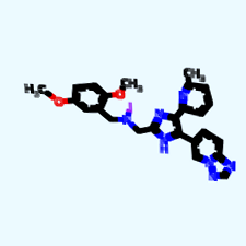 COc1ccc(OC)c(CN(I)Cc2nc(-c3cccc(C)n3)c(-c3ccc4ncnn4c3)[nH]2)c1